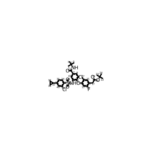 CC(C)(C)NC(=O)c1ccc(Oc2cc(F)c(CC(=O)OC(C)(C)C)cc2Cl)c(NS(=O)(=O)c2ccc(C3CC3)cc2Cl)c1